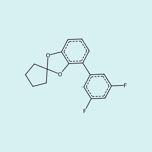 Fc1[c]c(-c2cccc3c2OC2(CCCC2)O3)cc(F)c1